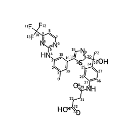 Cc1cc(Nc2nccc(C(F)(F)F)n2)cc(-c2cnc(C(C)(O)c3ccc(NC(=O)CCC(=O)O)cc3)s2)c1